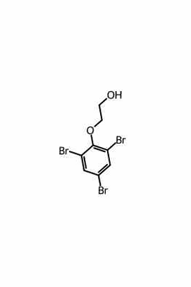 OCCOc1c(Br)cc(Br)cc1Br